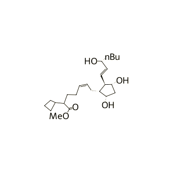 CCCC[C@@H](O)/C=C/[C@@H]1[C@@H](C/C=C\CCC(C(=O)OC)C2CCC2)[C@@H](O)C[C@H]1O